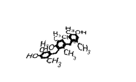 Cc1cc(Cc2c(C)c(C)c(O)c(Cc3cc(C)c(O)cc3C)c2C)c(C)cc1O